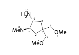 CN[C@@H]1CC(COC)(COC)C[C@H]1N